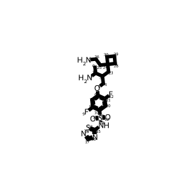 CC(N)C(COc1cc(F)c(S(=O)(=O)Nc2ncns2)cc1F)CC1(CCN)CCC1